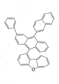 c1ccc(-c2ccc3c(-c4cccc5oc6ccccc6c45)c4ccccc4c(-c4ccc5ccccc5c4)c3c2)cc1